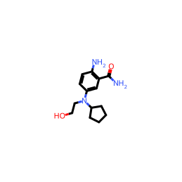 NC(=O)c1cc(N(CCO)C2CCCC2)ccc1N